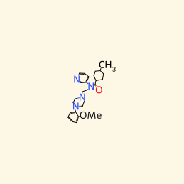 COc1ccccc1N1CCN(CCN(C(=O)C2CCC(C)CC2)c2cccnc2)CC1